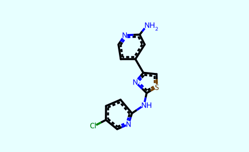 Nc1cc(-c2csc(Nc3ccc(Cl)cn3)n2)ccn1